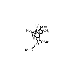 C=C(O)C1=CN2C(=CC1=C)c1cc(OC)c(OCCCOC)cc1[C@H]1COC(C)(C)[C@H]12